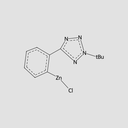 CC(C)(C)n1nnc(-c2cccc[c]2[Zn][Cl])n1